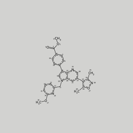 COC(=O)c1ccc(-c2cn(Cc3cccc(OC)n3)c3cc(-c4c(C)noc4C)cnc23)cc1